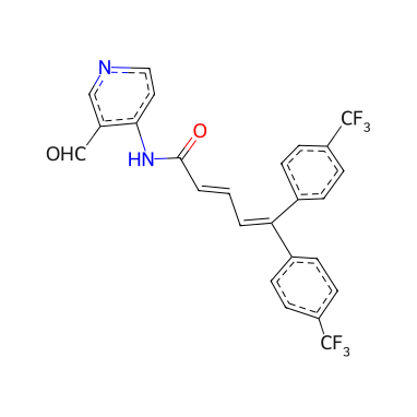 O=Cc1cnccc1NC(=O)C=CC=C(c1ccc(C(F)(F)F)cc1)c1ccc(C(F)(F)F)cc1